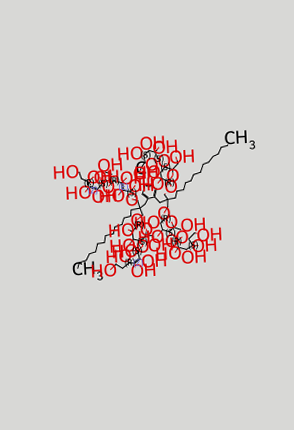 CCCCCCCCCCCCCCC(CO[C@@H]1OC(CO)[C@@H](O[C@H]2OC(CO)[C@@H](O)C(O)C2O)C(O)C1O)(CO[C@@H]1OC(CO)[C@@H](O[C@@H]2OC(CO)[C@@H](O)C(O)C2O)C(O)C1O)Cc1ccccc1CC(CCCCCCCCCCCCCC)(CO[C@@H]1OC(CO)[C@@H](O[C@H](O)/C(O)=C(/O)[C@H](O)CCO)C(O)C1O)CO[C@H](O)/C(O)=C(\O)[C@@H](CCO)O[C@H](O)/C(O)=C(/O)[C@H](O)CCO